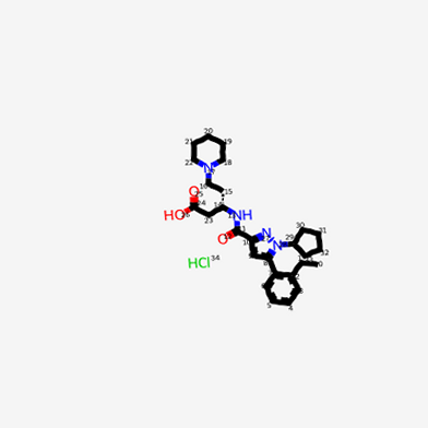 CCc1ccccc1-c1cc(C(=O)N[C@@H](CCN2CCCCC2)CC(=O)O)nn1C1CCCC1.Cl